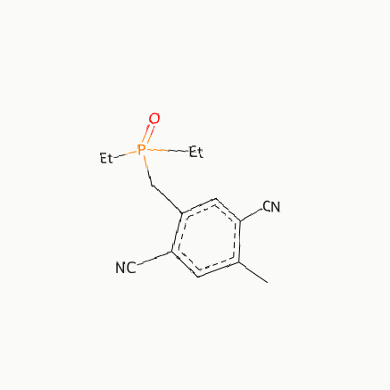 CCP(=O)(CC)Cc1cc(C#N)c(C)cc1C#N